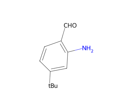 CC(C)(C)c1ccc(C=O)c(N)c1